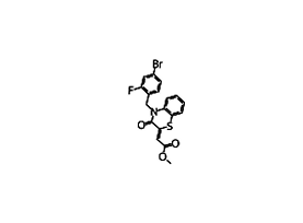 COC(=O)C=C1Sc2ccccc2N(Cc2ccc(Br)cc2F)C1=O